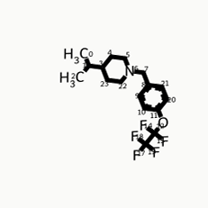 CC(C)C1CCN(Cc2ccc(OC(F)(F)C(F)(F)F)cc2)CC1